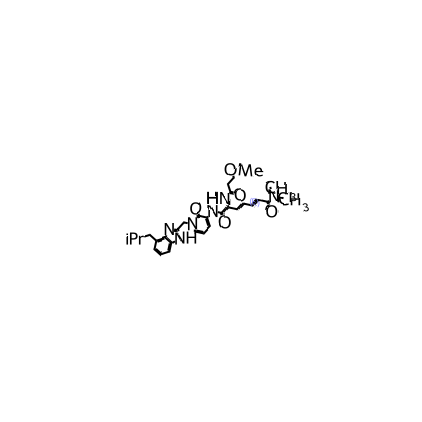 COCCC(=O)NC(CC/C=C/C(=O)N(C)C)C(=O)Nc1cccn(Cc2nc3c(CC(C)C)cccc3[nH]2)c1=O